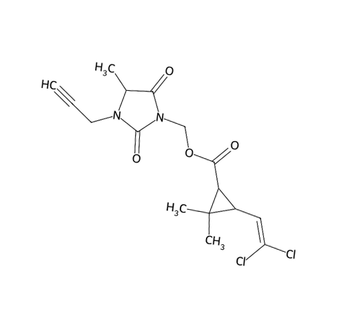 C#CCN1C(=O)N(COC(=O)C2C(C=C(Cl)Cl)C2(C)C)C(=O)C1C